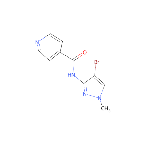 Cn1cc(Br)c(NC(=O)c2ccncc2)n1